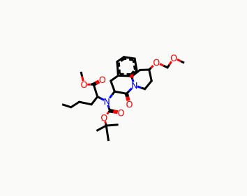 CCCCC(C(=O)OC)N(C(=O)OC(C)(C)C)C(Cc1ccccc1)C(=O)N1CCC(OCOC)CC1